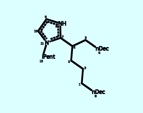 CCCCCCCCCCCCCC(CCCCCCCCCCC)c1[nH]cc[n+]1C(C)CCC